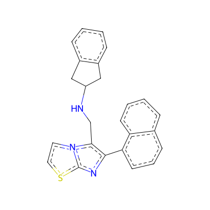 c1ccc2c(c1)CC(NCc1c(-c3cccc4ccccc34)nc3sccn13)C2